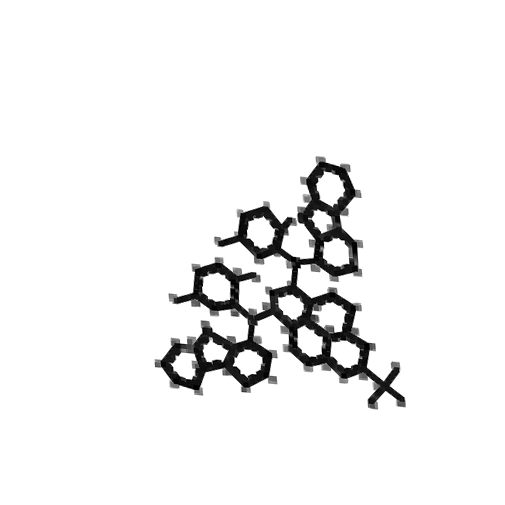 Cc1ccc(C)c(N(c2cc(N(c3cc(C)ccc3C)c3cccc4c3oc3ccccc34)c3ccc4cc(C(C)(C)C)cc5ccc2c3c54)c2cccc3c2oc2ccccc23)c1